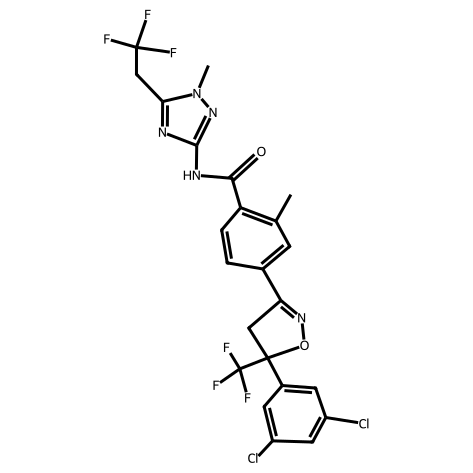 Cc1cc(C2=NOC(c3cc(Cl)cc(Cl)c3)(C(F)(F)F)C2)ccc1C(=O)Nc1nc(CC(F)(F)F)n(C)n1